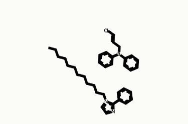 CCCCCCCCCCCCn1ccnc1-c1ccccc1.ClC=CCB(c1ccccc1)c1ccccc1